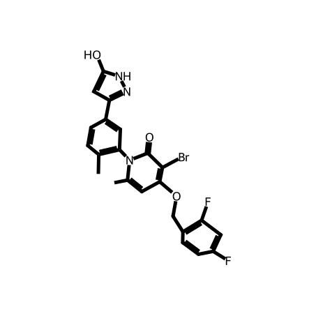 Cc1ccc(-c2cc(O)[nH]n2)cc1-n1c(C)cc(OCc2ccc(F)cc2F)c(Br)c1=O